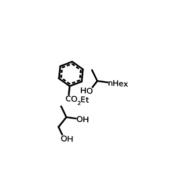 CC(O)CO.CCCCCCC(C)O.CCOC(=O)c1ccccc1